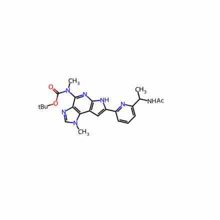 CC(=O)NC(C)c1cccc(-c2cc3c(nc(N(C)C(=O)OC(C)(C)C)c4ncn(C)c43)[nH]2)n1